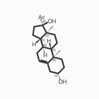 CC(=O)[C@@]1(O)CC[C@H]2[C@@H]3CC=C4C[C@@H](O)CC[C@]4(C)[C@H]3CC[C@@]21C